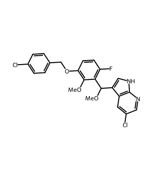 COc1c(OCc2ccc(Cl)cc2)ccc(F)c1C(OC)c1c[nH]c2ncc(Cl)cc12